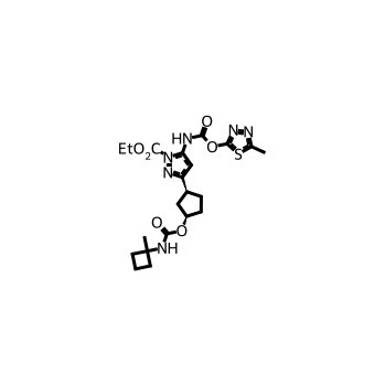 CCOC(=O)n1nc([C@H]2CC[C@@H](OC(=O)NC3(C)CCC3)C2)cc1NC(=O)Oc1nnc(C)s1